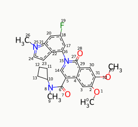 COc1cc2c(C(=O)N(C)C3CCC3)cn(-c3cc(F)cc4c3ccn4C)c(=O)c2cc1OC